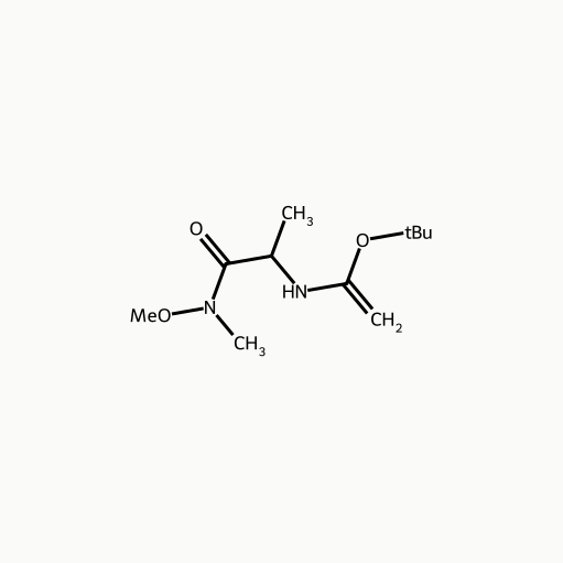 C=C(NC(C)C(=O)N(C)OC)OC(C)(C)C